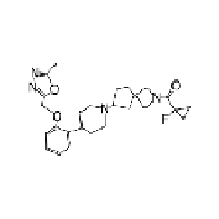 Cc1nnc(COc2ccccc2C2CCN(C3CCC4(C3)CN(C(=O)C3(F)CC3)C4)CC2)o1